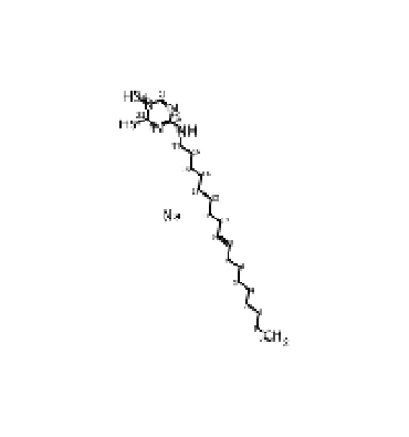 CCCCCCCCC=CCCCCCCCCNC1=NC(S)N(S)C=N1.[Na]